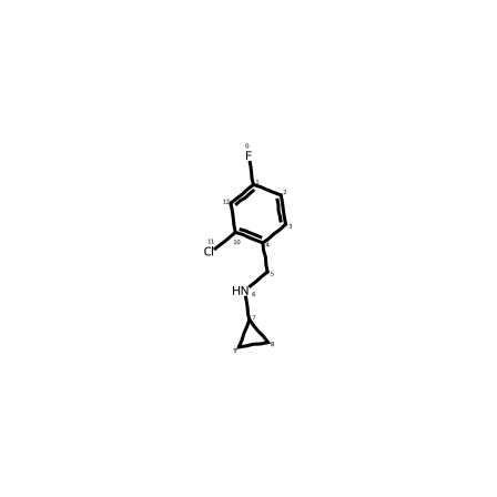 Fc1ccc(CNC2CC2)c(Cl)c1